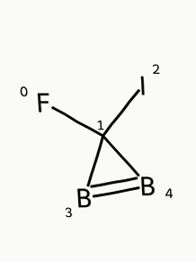 FC1(I)B=B1